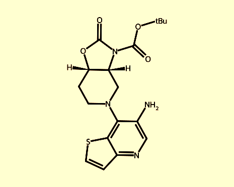 CC(C)(C)OC(=O)N1C(=O)O[C@H]2CCN(c3c(N)cnc4ccsc34)C[C@H]21